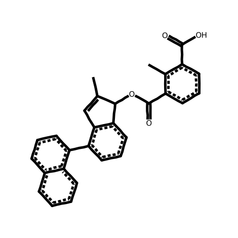 CC1=Cc2c(-c3cccc4ccccc34)cccc2C1OC(=O)c1cccc(C(=O)O)c1C